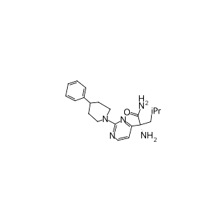 CC(C)C[C@](N)(C(N)=O)c1ccnc(N2CCC(c3ccccc3)CC2)n1